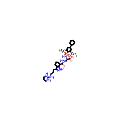 Cc1cc(-c2ccccc2)cc(C)c1S(=O)(=O)NC(CNC(=O)c1cccc2c(CCCNC3NC=CCN3)n[nH]c12)C(=O)O